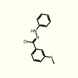 CSc1cccc(C(Cl)=NNc2ccccc2)c1